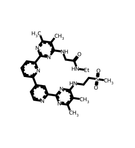 CCNC(=O)CNc1nc(-c2cccc(-c3ccnc(-c4nc(C)c(C)c(NCCS(C)(=O)=O)n4)c3)n2)nc(C)c1C